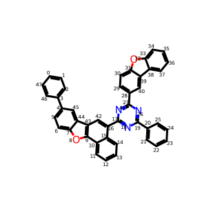 c1ccc(-c2ccc3oc4c5ccccc5c(-c5nc(-c6ccccc6)nc(-c6ccc7oc8ccccc8c7c6)n5)cc4c3c2)cc1